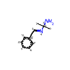 CC(C)(N)N=Cc1ccccc1